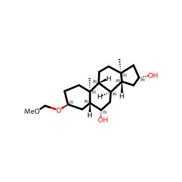 COCO[C@H]1CC[C@@]2(C)[C@@H]3CC[C@@]4(C)C[C@H](O)C[C@@H]4[C@H]3C[C@H](O)[C@@H]2C1